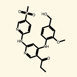 CCC(=O)c1cnc(Nc2ccc(S(C)(=O)=O)cn2)cc1Nc1ccc(CO)cc1OC